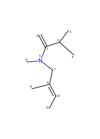 C=C(C(C)C)N(C)C/C(C)=C/C